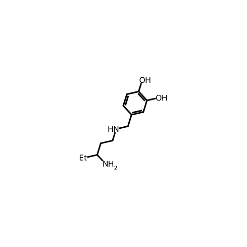 CCC(N)CCNCc1ccc(O)c(O)c1